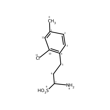 Cc1ccc(CCC(N)S(=O)(=O)O)c(Cl)c1